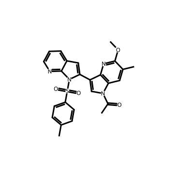 COc1nc2c(-c3cc4cccnc4n3S(=O)(=O)c3ccc(C)cc3)cn(C(C)=O)c2cc1C